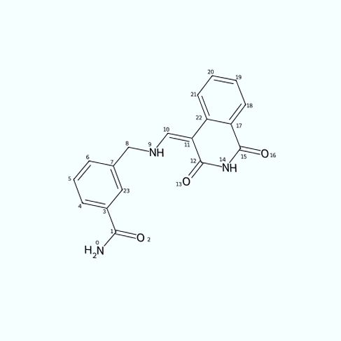 NC(=O)c1cccc(CNC=C2C(=O)NC(=O)c3ccccc32)c1